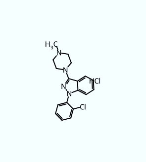 CN1CCN(c2nn(-c3ccccc3Cl)c3ccccc23)CC1.Cl